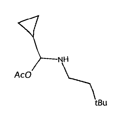 CC(=O)OC(NCCC(C)(C)C)C1CC1